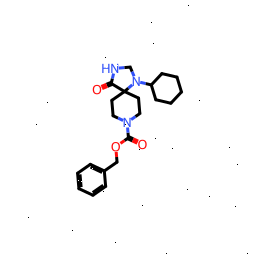 O=C(OCc1ccccc1)N1CCC2(CC1)C(=O)NCN2C1CCCCC1